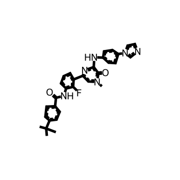 Cn1cc(-c2cccc(NC(=O)c3ccc(C(C)(C)C)cc3)c2F)nc(Nc2ccc(-n3ccnc3)cc2)c1=O